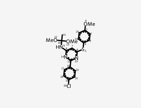 COc1ccc(Sc2cc(NC(C)(OC)OC)nc(-c3ccc(Cl)cc3)n2)cc1